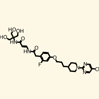 O=C(/C=C/NC(=O)Cc1ccc(OCCCC2CCN(c3ncc(Cl)cn3)CC2)cc1F)NC(CO)(CO)CO